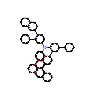 c1ccc(-c2ccc(N(c3ccc(-c4ccc5ccccc5c4)c(-c4ccccc4)c3)c3ccc(-c4ccccc4)cc3-c3ccc4c(ccc5ccc6ccccc6c54)c3)cc2)cc1